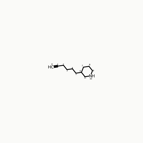 C#CCCCCC1CCCNC1